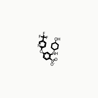 O=[N+]([O-])c1ccc(Oc2ccc(C(F)(F)F)cn2)cc1N[C@H]1CC[C@@H](O)CC1